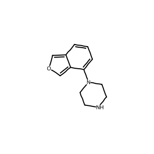 c1cc(N2CCNCC2)c2cocc2c1